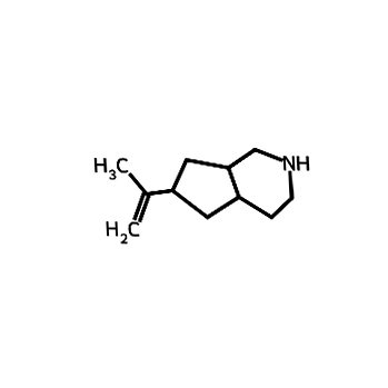 C=C(C)C1CC2CCNCC2C1